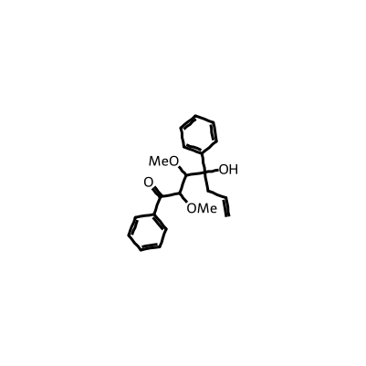 C=CCC(O)(c1ccccc1)C(OC)C(OC)C(=O)c1ccccc1